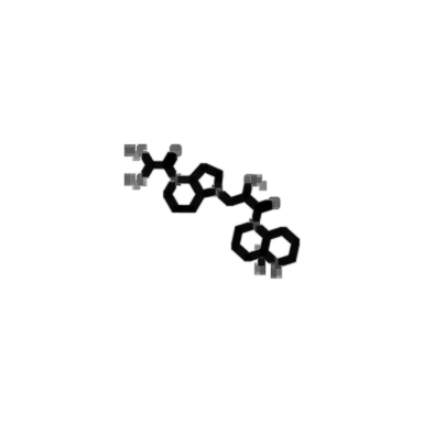 CC(C)C(=O)N1CCCC2C1CCN2CC(C)C(=O)N1CCC[C@H]2NCCCC21